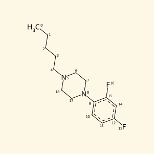 CCCCCN1CCN(c2ccc(F)cc2F)CC1